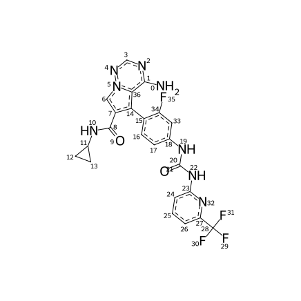 Nc1ncnn2cc(C(=O)NC3CC3)c(-c3ccc(NC(=O)Nc4cccc(C(F)(F)F)n4)cc3F)c12